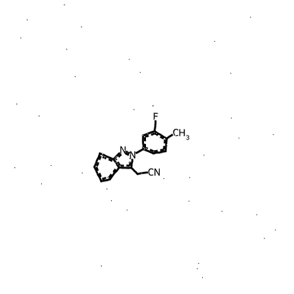 Cc1ccc(-n2nc3ccccc3c2CC#N)cc1F